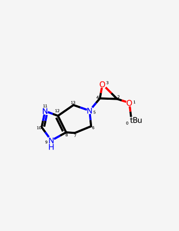 CC(C)(C)OC1OC1N1CCc2[nH]cnc2C1